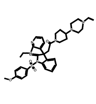 CCOc1ncccc1C1(CC(=O)N2CCC(N3CCN(CC)CC3)CC2)C(=O)N(S(=O)(=O)c2ccc(OC)cc2)c2ccccc21